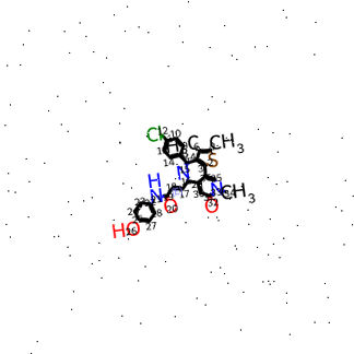 Cc1sc2c(c1C)C(c1ccc(Cl)cc1)=NC(/C=C/C(=O)Nc1ccc(O)cc1)c1cc(=O)n(C)cc1-2